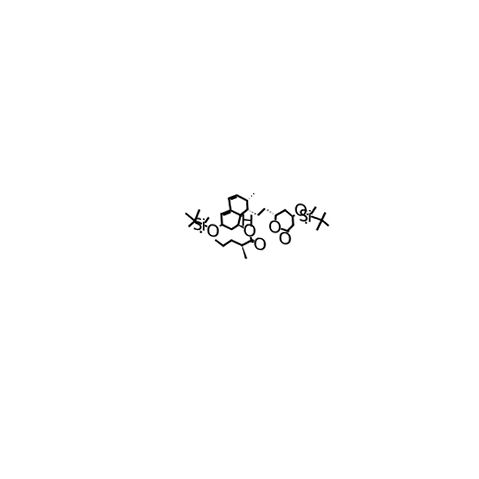 CCC[C@H](C)C(=O)O[C@H]1C[C@H](O[Si](C)(C)C(C)(C)C)C=C2C=C[C@H](C)[C@H](CC[C@@H]3C[C@@H](O[Si](C)(C)C(C)(C)C)CC(=O)O3)[C@H]21